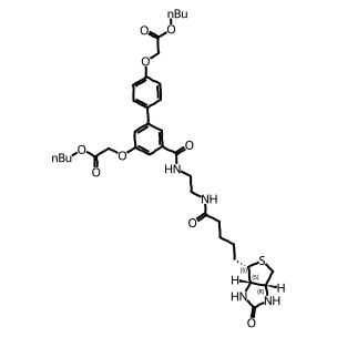 CCCCOC(=O)COc1ccc(-c2cc(OCC(=O)OCCCC)cc(C(=O)NCCNC(=O)CCCC[C@@H]3SC[C@@H]4NC(=O)N[C@@H]43)c2)cc1